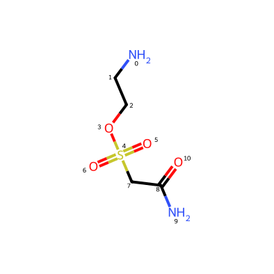 NCCOS(=O)(=O)CC(N)=O